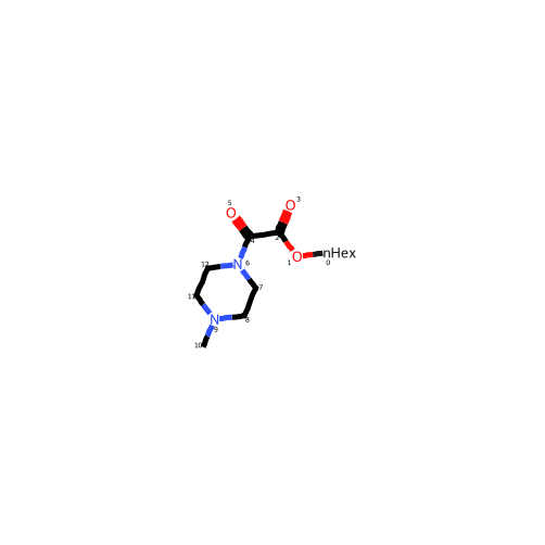 CCCCCCOC(=O)C(=O)N1CCN(C)CC1